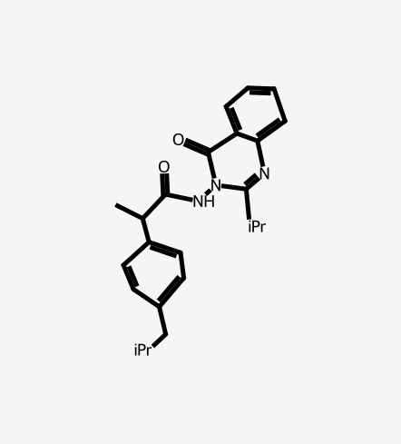 CC(C)Cc1ccc(C(C)C(=O)Nn2c(C(C)C)nc3ccccc3c2=O)cc1